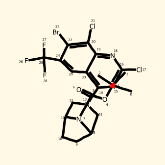 CC(C)(C)OC(=O)N1C2CCC1CN(c1nc(Cl)nc3c(Cl)c(Br)c(C(F)(F)F)cc13)C2